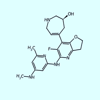 CNc1cc(C)nc(Nc2nc3c(c(C4=CCNC[C@@H](O)C4)c2F)OCC3)c1